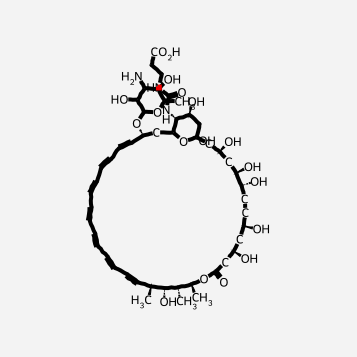 CC1OC(O[C@H]2/C=C/C=C/C=C/C=C/C=C/C=C/C=C/[C@H](C)[C@@H](O)[C@@H](C)[C@H](C)OC(=O)C[C@H](O)C[C@H](O)CC[C@@H](O)[C@H](O)C[C@H](O)C[C@]3(O)C[C@H](O)[C@@H](NC(=O)NCCC(=O)O)C(C2)O3)C(O)C(N)C1O